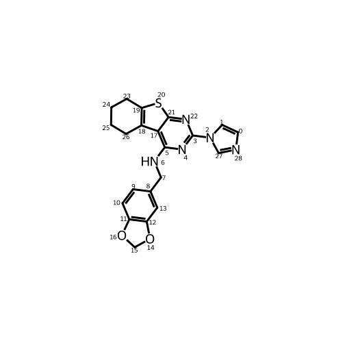 c1cn(-c2nc(NCc3ccc4c(c3)OCO4)c3c4c(sc3n2)CCCC4)cn1